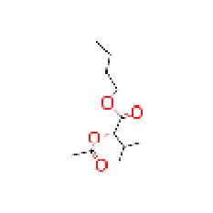 CCCCOC(=O)[C@@H](OC(C)=O)C(C)C